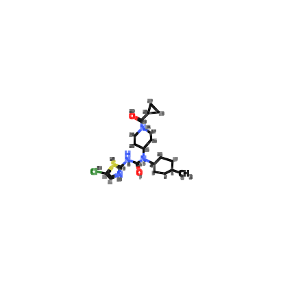 CC1CCC(N(C(=O)Nc2ncc(Cl)s2)C2CCN(C(=O)C3CC3)CC2)CC1